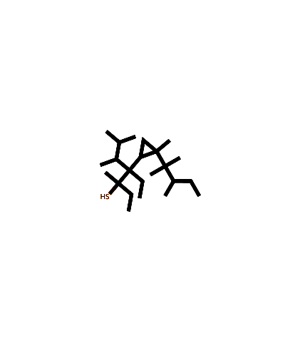 CCC(C)C(C)(C)C1(C)CC1C(CC)(C(C)C(C)C)C(C)(S)CC